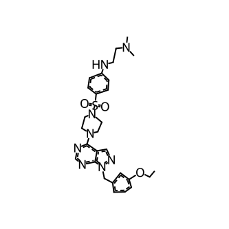 CCOc1cccc(Cn2ncc3c(N4CCN(S(=O)(=O)c5ccc(NCCN(C)C)cc5)CC4)ncnc32)c1